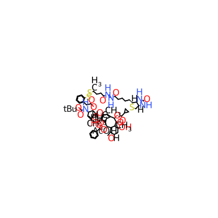 CC(=O)O[C@@]12CO[C@@H]1C[C@H](O)[C@@]1(C)C(=O)[C@H](OC(=O)C3CC3)C3=C(C)[C@@H](OC(=O)[C@H](OC(=O)Cc4ccccc4SSC(C)CCC(=O)NNC(=O)CCCC[C@@H]4SC[C@@H]5NC(=O)N[C@@H]54)[C@H](C=C(C)C)NC(=O)OC(C)(C)C)C[C@@](O)([C@@H](OC(=O)c4ccccc4)[C@H]21)C3(C)C